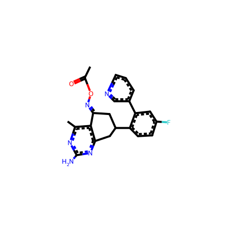 CC(=O)O/N=C1\CC(c2ccc(F)cc2-c2cccnc2)Cc2nc(N)nc(C)c21